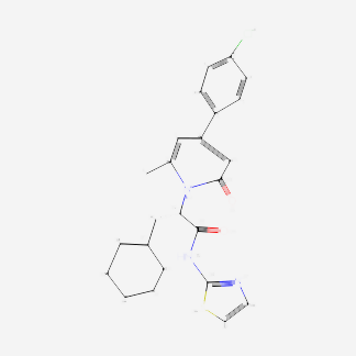 Cc1cc(-c2ccc(Cl)cc2)cc(=O)n1[C@@H](CC1CCCCC1)C(=O)Nc1nccs1